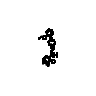 CCOc1ccccc1N1CCN(CCNc2ccnn(C)c2=O)CC1